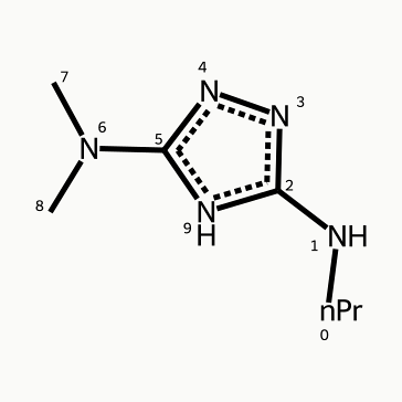 CCCNc1nnc(N(C)C)[nH]1